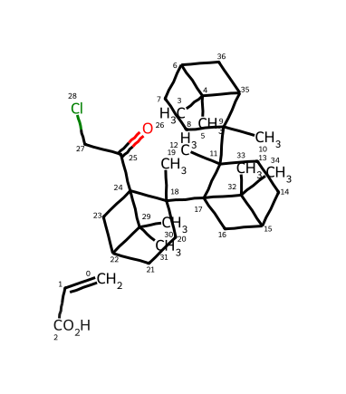 C=CC(=O)O.CC1(C)C2CCC(C)(C3(C)CCC4CC3(C3(C)CCC5CC3(C(=O)CCl)C5(C)C)C4(C)C)C1C2